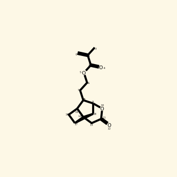 C=C(C)C(=O)OCCC1C2OC(=O)CC34C1CC3C24